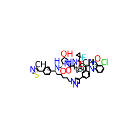 Cc1ncsc1-c1ccc([C@H](CCCCCn2cc(-c3ccc4c(c3)C(C)(C)c3nc(=O)c5c(Cl)cccc5n3-4)cn2)NC(=O)[C@@H]2C[C@@H](O)CN2C(=O)[C@@H](NC(=O)C2(F)CC2)C(C)(C)C)cc1